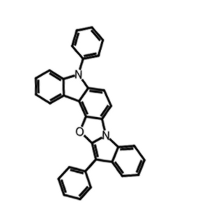 c1ccc(-c2c3ccccc3n3c2oc2c4c5ccccc5n(-c5ccccc5)c4ccc23)cc1